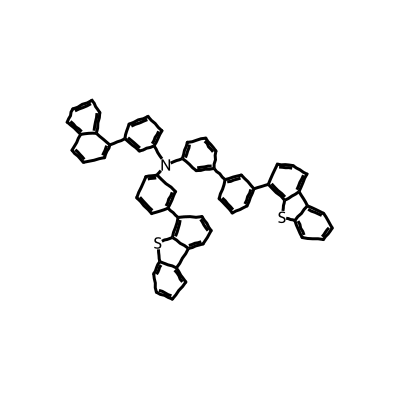 c1cc(-c2cccc(N(c3cccc(-c4cccc5ccccc45)c3)c3cccc(-c4cccc5c4sc4ccccc45)c3)c2)cc(-c2cccc3c2sc2ccccc23)c1